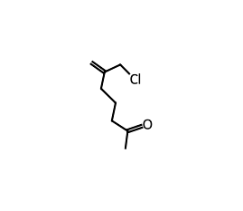 C=C(CCl)CCCC(C)=O